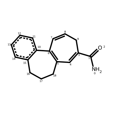 NC(=O)C1=CC2=C(C=CC1)c1ccccc1CCC2